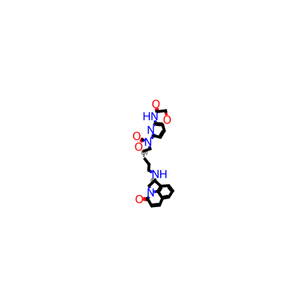 O=C1COc2ccc(N3C[C@H](CCCN[C@H]4Cn5c(=O)ccc6cccc4c65)OC3=O)nc2N1